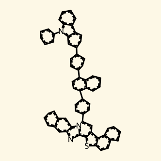 c1ccc(-n2c3ccccc3c3ccc(-c4ccc(-c5ccc(-c6ccc(-c7cc8c(sc9ccc%10ccccc%10c98)c8nc9cc%10ccccc%10cc9n78)cc6)c6ccccc56)cc4)cc32)cc1